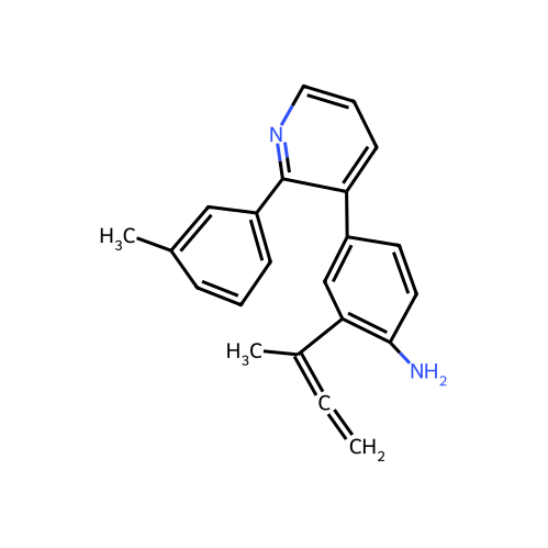 C=C=C(C)c1cc(-c2cccnc2-c2cccc(C)c2)ccc1N